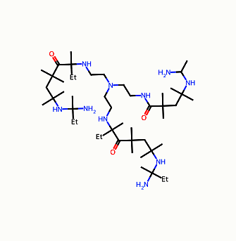 CCC(C)(N)NC(C)(C)CC(C)(C)C(=O)C(C)(CC)NCCN(CCNC(=O)C(C)(C)CC(C)(C)NC(C)N)CCNC(C)(CC)C(=O)C(C)(C)CC(C)(C)NC(C)(N)CC